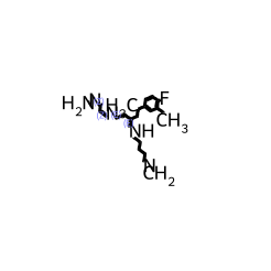 C=NCCCCCN/C=C(/C/C=N/C=C\C=N/N)CC(C)c1ccc(F)c(CC)c1